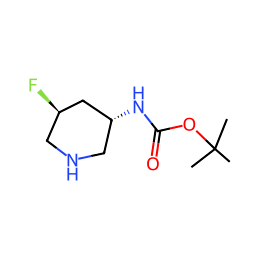 CC(C)(C)OC(=O)N[C@@H]1CNC[C@@H](F)C1